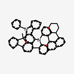 CC1(C)c2ccccc2-c2ccc(-c3ccccc3N(c3ccccc3-c3cccc4cccc(C5CCCCC5)c34)c3cccc4c3c3ccccc3n4-c3ccccc3)cc21